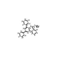 BrCOCc1c(-c2ccccc2)cc(-c2ccccc2)cc1-c1ccccc1